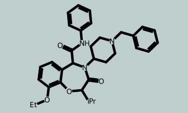 CCOc1cccc2c1OC(C(C)C)C(=O)N(C1CCN(Cc3ccccc3)CC1)C2C(=O)Nc1ccccc1